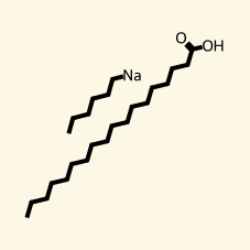 CCCCCCCCCCCCCCCCCC(=O)O.CCCCC[CH2][Na]